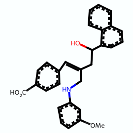 COc1cccc(NCC(=Cc2ccc(C(=O)O)cc2)CC(O)c2cccc3ccccc23)c1